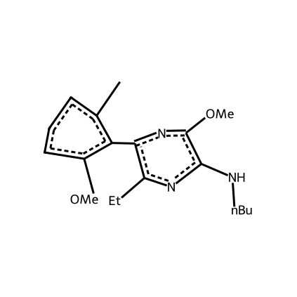 CCCCNc1nc(CC)c(-c2c(C)cccc2OC)nc1OC